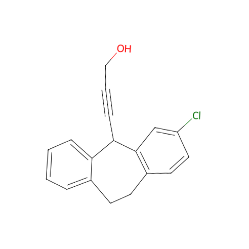 OCC#CC1c2ccccc2CCc2ccc(Cl)cc21